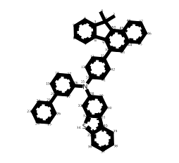 CC1(C)c2ccccc2-c2c(-c3ccc(N(c4cccc(-c5ccccc5)c4)c4ccc5c(c4)sc4ccccc45)cc3)cc3ccccc3c21